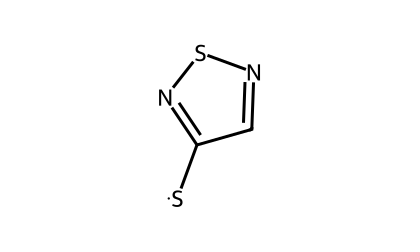 [S]c1cnsn1